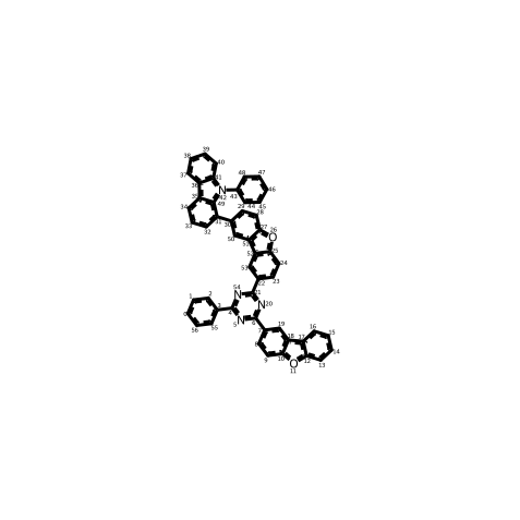 c1ccc(-c2nc(-c3ccc4oc5ccccc5c4c3)nc(-c3ccc4oc5ccc(-c6cccc7c8ccccc8n(-c8ccccc8)c67)cc5c4c3)n2)cc1